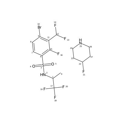 CC(NS(=O)(=O)c1ccc(Br)c(C(F)F)c1F)C(F)(F)F.FC1CCNCC1